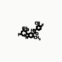 C[C@@H]1Cc2nn3c(c2CN1C(=O)Nc1ccc(F)c(C#N)c1)C(=O)N(C)CC(F)C3